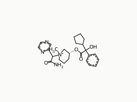 C[N+]1(C(C(N)=O)c2cnccn2)CCC[C@@H](OC(=O)C(O)(c2ccccc2)C2CCCC2)C1